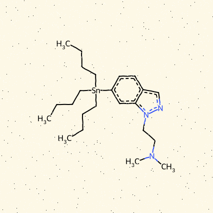 CCC[CH2][Sn]([CH2]CCC)([CH2]CCC)[c]1ccc2cnn(CCN(C)C)c2c1